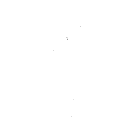 CCNC1=NC(C)=C2CC(c3cccc(C(F)(F)F)c3)=CN(CC)C2N1